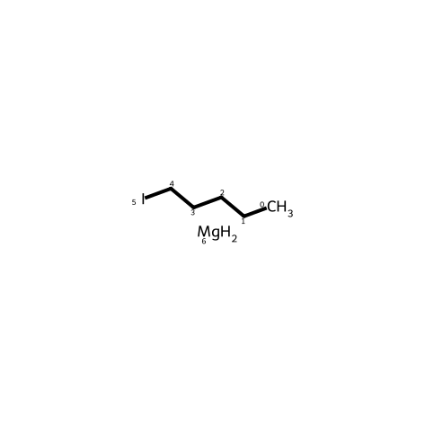 CCCCCI.[MgH2]